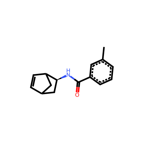 Cc1cccc(C(=O)N[C@H]2CC3C=CC2C3)c1